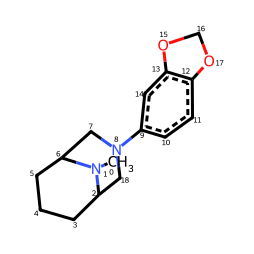 CN1C2CCCC1CN(c1ccc3c(c1)OCO3)C2